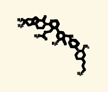 COCCC1CCN(c2ccc(Nc3cc(-c4ccnc(N5CCn6c(cc7c6CC(C)(C)C7)C5=O)c4COC(C)=O)cn(C)c3=O)nc2)[C@@H](C)C1